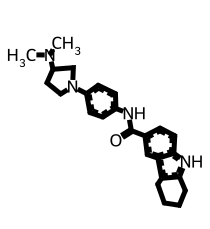 CN(C)C1CCN(c2ccc(NC(=O)c3ccc4[nH]c5c(c4c3)CCCC5)cc2)C1